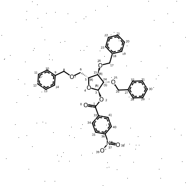 O=C(O[C@H]1O[C@H](COCc2ccccc2)[C@@H](OCc2ccccc2)[C@@H]1OCc1ccccc1)c1ccc([N+](=O)[O-])cc1